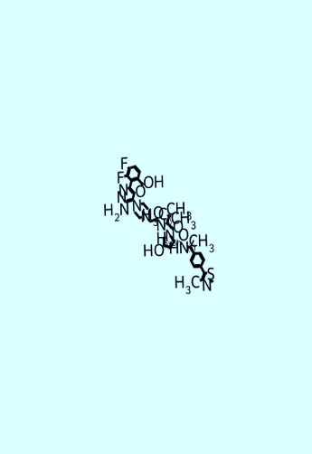 Cc1ncsc1-c1ccc([C@H](C)NC(=O)[C@@H]2C[C@@H](O)CN2C(=O)[C@@H](NC(=O)CN2CCN(c3cc(-c4c(C(=O)O)ccc(F)c4F)nnc3N)CC2)C(C)(C)C)cc1